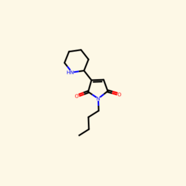 CCCCN1C(=O)C=C(C2CCCCN2)C1=O